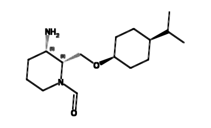 CC(C)[C@H]1CC[C@@H](OC[C@H]2[C@@H](N)CCCN2C=O)CC1